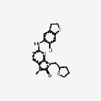 Cn1c(=O)n(CC2CCCO2)c2nc(Nc3cc4c(cc3Cl)OCC4)ncc21